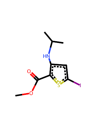 COC(=O)c1sc(I)cc1NC(C)C